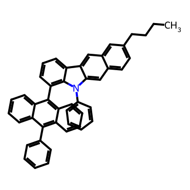 CCCCc1ccc2cc3c(cc2c1)c1cccc(-c2c4ccccc4c(-c4ccccc4)c4ccccc24)c1n3-c1ccccc1